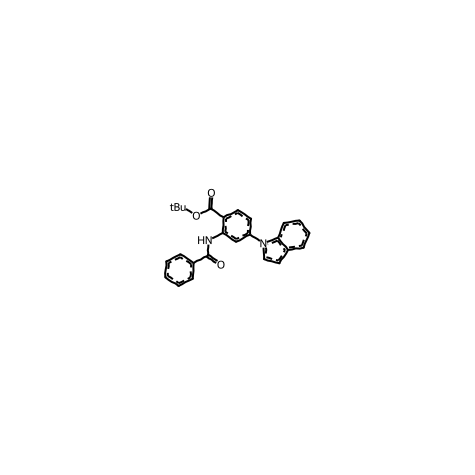 CC(C)(C)OC(=O)c1ccc(-n2ccc3ccccc32)cc1NC(=O)c1ccccc1